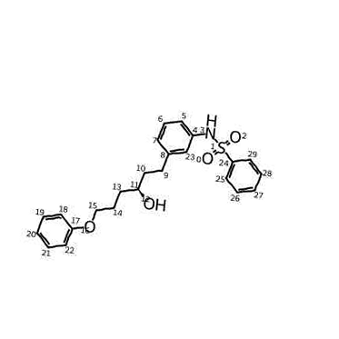 O=S(=O)(Nc1cccc(CC[C@@H](O)CCCOc2[c]cccc2)c1)c1ccccc1